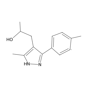 Cc1[c]cc(-c2n[nH]c(C)c2CC(C)O)cc1